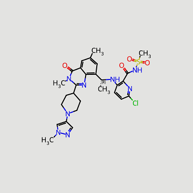 Cc1cc([C@@H](C)Nc2ccc(Cl)nc2C(=O)NS(C)(=O)=O)c2nc(C3CCN(c4cnn(C)c4)CC3)n(C)c(=O)c2c1